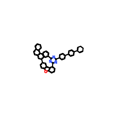 C1=CC(c2ccc(-c3ccc(-c4nc(-c5ccccc5)nc(-c5cccc6oc7ccc(-c8ccc9c(ccc%10ccccc%109)c8)cc7c56)n4)cc3)cc2)=CCC1